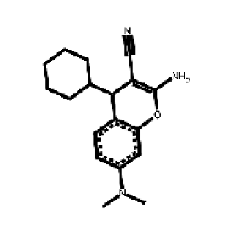 CN(C)c1ccc2c(c1)OC(N)=C(C#N)C2C1CCCCC1